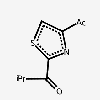 CC(=O)c1csc(C(=O)C(C)C)n1